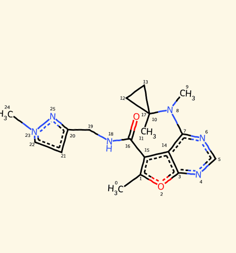 Cc1oc2ncnc(N(C)C3(C)CC3)c2c1C(=O)NCc1ccn(C)n1